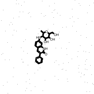 CC1OC(CO)C(O)C(O)C1Nc1ccc2cc(-c3ccccc3)c(=O)[nH]c2c1